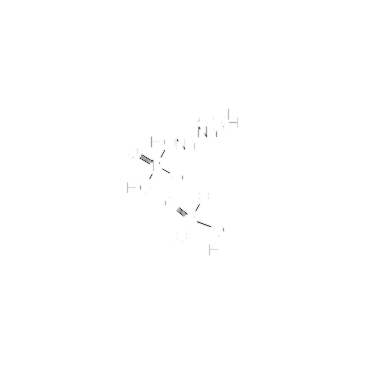 O=P([O-])(O)O.O=P([O-])([O-])[O-].[H+].[H+].[KH].[Na+].[Na+]